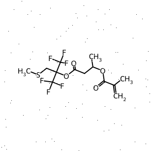 C=C(C)C(=O)OC(C)CC(=O)OC(CSC)(C(F)(F)F)C(F)(F)F